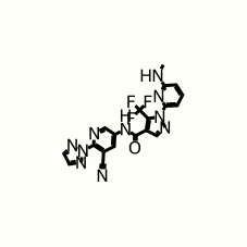 CNc1cccc(-n2ncc(C(=O)Nc3cnc(-n4nccn4)c(C#N)c3)c2C(F)(F)F)n1